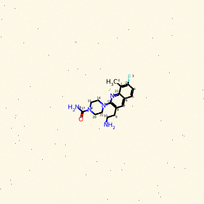 Cc1c(F)ccc2cc(CCN)c(N3CCN(C(N)=O)CC3)nc12